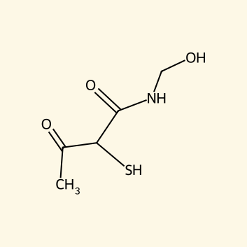 CC(=O)C(S)C(=O)NCO